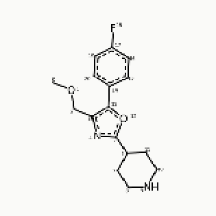 COCc1nc(C2CCNCC2)oc1-c1ccc(F)cc1